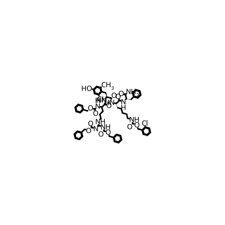 Cc1cc(O)cc(C)c1C[C@H](NC(=O)C(CCCN/C(=N\C(=O)OCc1ccccc1)NC(=O)OCc1ccccc1)NC(=O)OCc1ccccc1)C(=O)N[C@@H](CCCCCNC(=O)OCc1ccccc1Cl)C(=O)N[C@@H](Cc1ccccc1)C(N)=O